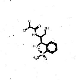 CS(=O)(=O)c1ccccc1C(O)C(CO)NC(=O)C(Cl)Cl